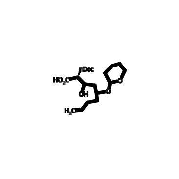 C=CCCC(CC(O)[C@@H](CCCCCCCCCC)C(=O)O)OC1CCCCO1